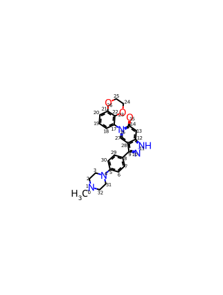 CN1CCN(c2ccc(-c3n[nH]c4cc(=O)n(-c5cccc6c5OCCO6)cc34)cc2)CC1